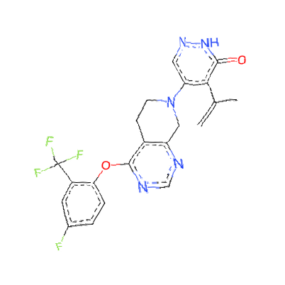 C=C(C)c1c(N2CCc3c(ncnc3Oc3ccc(F)cc3C(F)(F)F)C2)cn[nH]c1=O